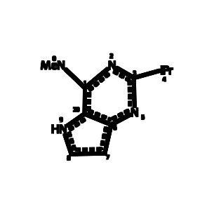 CNc1nc(C(C)C)nc2cc[nH]c12